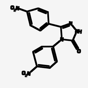 O=c1[nH]nc(-c2ccc([N+](=O)[O-])cc2)n1-c1ccc([N+](=O)[O-])cc1